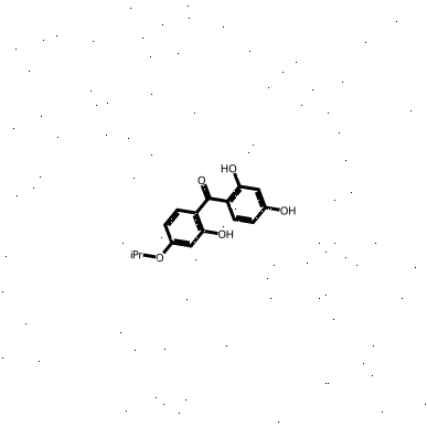 CC(C)Oc1ccc(C(=O)c2ccc(O)cc2O)c(O)c1